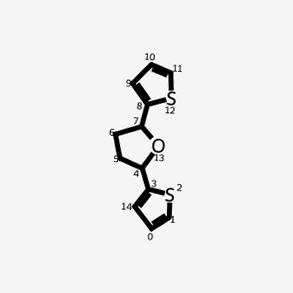 c1csc(C2CCC(c3cccs3)O2)c1